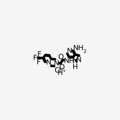 CCN(Cc1ccc(C(F)(F)F)cn1)C(=O)C(=O)Nc1cnc(N)c2cn[nH]c12.[Cl-].[H+]